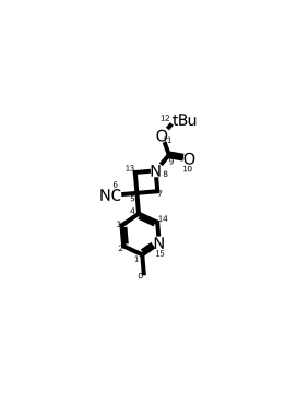 Cc1ccc(C2(C#N)CN(C(=O)OC(C)(C)C)C2)cn1